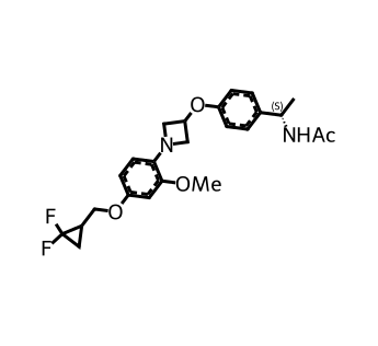 COc1cc(OCC2CC2(F)F)ccc1N1CC(Oc2ccc([C@H](C)NC(C)=O)cc2)C1